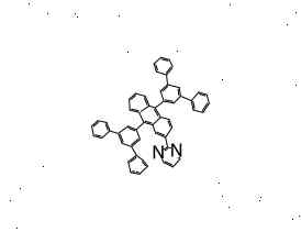 c1ccc(-c2cc(-c3ccccc3)cc(-c3c4ccccc4c(-c4cc(-c5ccccc5)cc(-c5ccccc5)c4)c4cc(-c5ncccn5)ccc34)c2)cc1